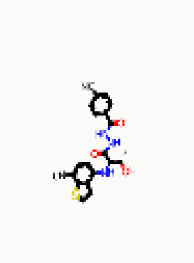 [C-]#[N+]c1ccc(N[C@@H](C(=O)NNC(=O)c2ccc(C#N)cc2)[C@H](C)O)c2ccsc12